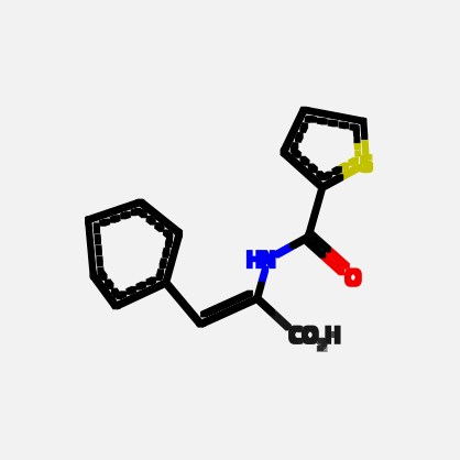 O=C(O)/C(=C/c1ccccc1)NC(=O)c1cccs1